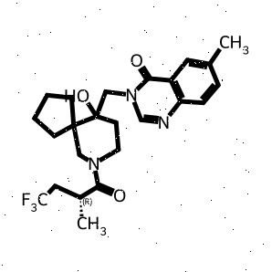 Cc1ccc2ncn(CC3(O)CCN(C(=O)[C@H](C)CC(F)(F)F)CC34CCCC4)c(=O)c2c1